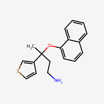 CC(CCN)(Oc1cccc2ccccc12)c1ccsc1